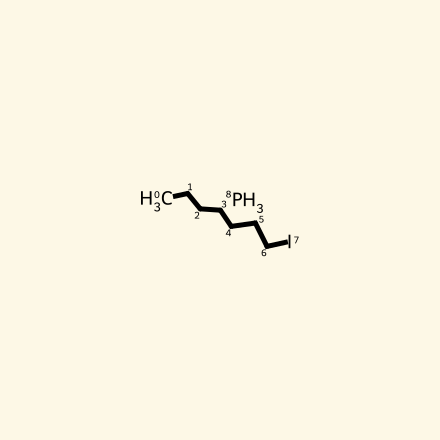 CCCCCCCI.P